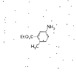 CCOC(=O)C1=CC(N)=CCC1C